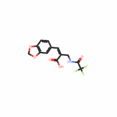 O=C(O)C(=Cc1ccc2c(c1)OCO2)CNC(=O)C(F)(F)F